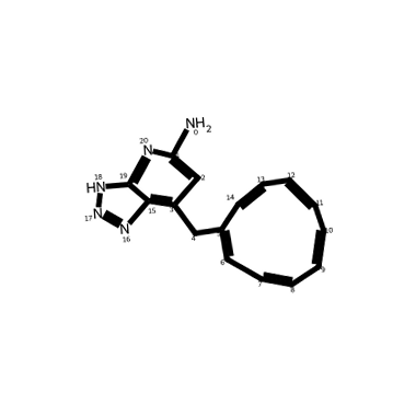 Nc1cc(Cc2ccccccccc2)c2nn[nH]c2n1